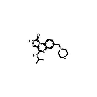 CC(C)Nc1nc2cc(CN3CCOCC3)ccc2n2c(=O)[nH]nc12